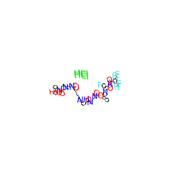 CN(CCN1CCC(N(C(=O)O)c2ccccc2-c2ccccc2)CC1)C(=O)CCCCCNCc1cccc(C(=O)N(C)CCCN(C)C(=O)CO[C@H]2Cc3ccccc3C23CCN(CC[C@]2(c4ccc(F)cc4)CN(C(=O)c4cc(C(F)(F)F)cc(C(F)(F)F)c4)CO2)CC3)c1.Cl.Cl.Cl